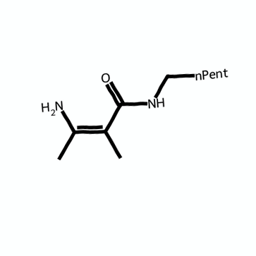 CCCCCCNC(=O)/C(C)=C(/C)N